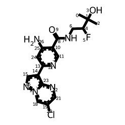 CC(C)(O)C(F)CNC(=O)c1cnc(-c2cnn3cc(Cl)cnc23)cc1N